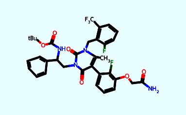 Cc1c(-c2cccc(OCC(N)=O)c2F)c(=O)n(CC(NC(=O)OC(C)(C)C)c2ccccc2)c(=O)n1Cc1c(F)cccc1C(F)(F)F